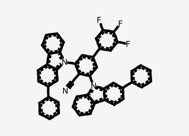 N#Cc1c(-n2c3ccccc3c3ccc(-c4ccccc4)cc32)cc(-c2cc(F)c(F)c(F)c2)cc1-n1c2ccccc2c2ccc(-c3ccccc3)cc21